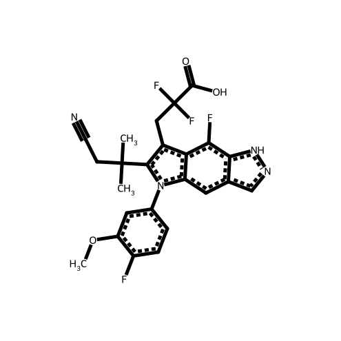 COc1cc(-n2c(C(C)(C)CC#N)c(CC(F)(F)C(=O)O)c3c(F)c4[nH]ncc4cc32)ccc1F